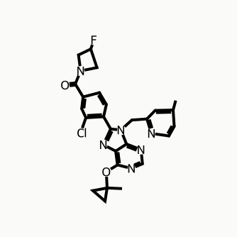 Cc1ccnc(Cn2c(-c3ccc(C(=O)N4CC(F)C4)cc3Cl)nc3c(OC4(C)CC4)ncnc32)c1